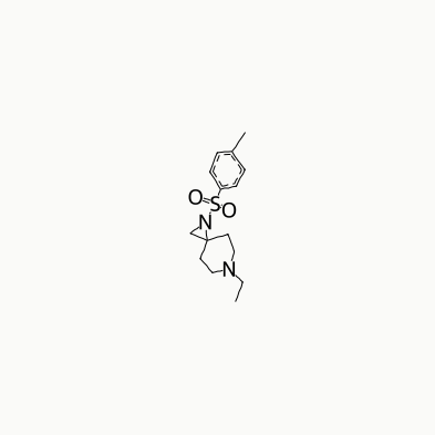 CCN1CCC2(CC1)CN2S(=O)(=O)c1ccc(C)cc1